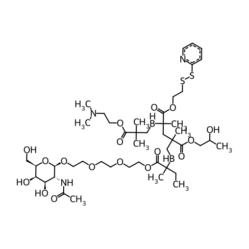 CCC(C)(BCC(C)(CC(C)(BCC(C)(C)C(=O)OCCN(C)C)C(=O)OCCSSc1ccccn1)C(=O)OCC(C)O)C(=O)OCCOCCOCCO[C@@H]1O[C@H](CO)[C@H](O)[C@H](O)[C@H]1NC(C)=O